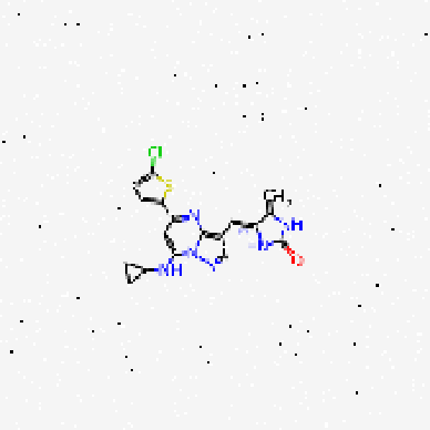 C=c1[nH]c(=O)[nH]/c1=C\c1cnn2c(NC3CC3)cc(-c3ccc(Cl)s3)nc12